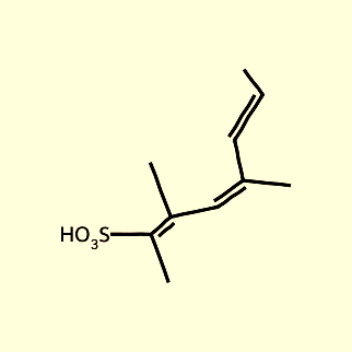 C/C=C/C(C)=C\C(C)=C(/C)S(=O)(=O)O